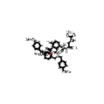 COc1ccc(CN(Cc2ccc(OC)cc2)S(=O)(=O)c2c(S(=O)(=O)NC(C)CNC(=O)OC(C)(C)C)ccc(I)c2-c2nnn(Cc3ccc(OC)cc3)n2)cc1